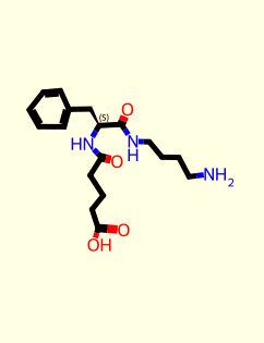 NCCCCNC(=O)[C@H](Cc1ccccc1)NC(=O)CCCC(=O)O